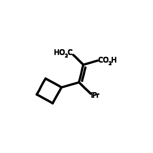 CC(C)C(=C(C(=O)O)C(=O)O)C1CCC1